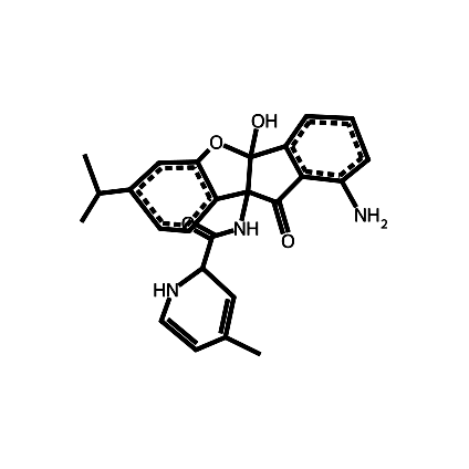 CC1=CC(C(=O)NC23C(=O)c4c(N)cccc4C2(O)Oc2cc(C(C)C)ccc23)NC=C1